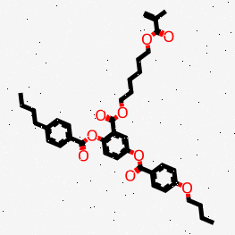 C=C(C)C(=O)OCCCCCCOC(=O)c1cc(OC(=O)c2ccc(OCCCC)cc2)ccc1OC(=O)c1ccc(CCCC)cc1